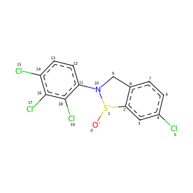 [O-][S+]1c2cc(Cl)ccc2CN1c1ccc(Cl)c(Cl)c1Cl